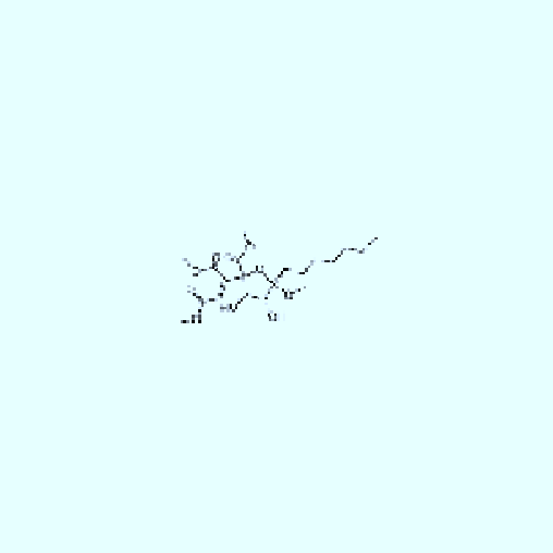 CCCCCCC[C@]1(OC)O[C@@](C(=O)OC)(C(=CC(=O)OC)C(=O)OC)[C@H](O)[C@H]1O